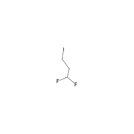 F[C](F)CCI